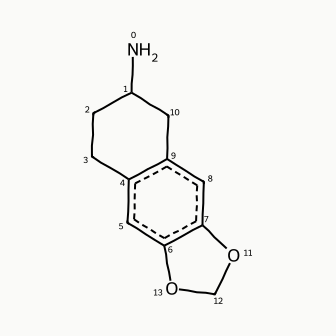 NC1CCc2cc3c(cc2C1)OCO3